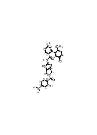 COc1cnc(Cl)cc1-c1cc(C)ncc1C(=O)Nc1nc2c(s1)CN(C(=O)c1ccc(C(F)F)cc1Cl)C2